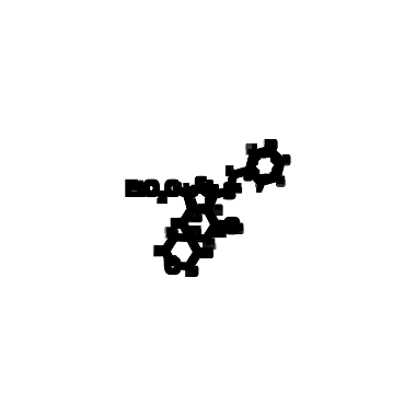 CCOC(=O)c1sc(SCc2ccccc2)c2c1CC1(CCOCC1)CC2=O